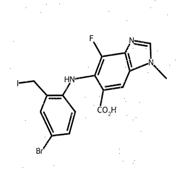 Cn1cnc2c(F)c(Nc3ccc(Br)cc3CI)c(C(=O)O)cc21